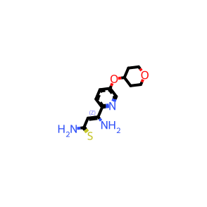 NC(=S)/C=C(\N)c1ccc(OC2CCOCC2)cn1